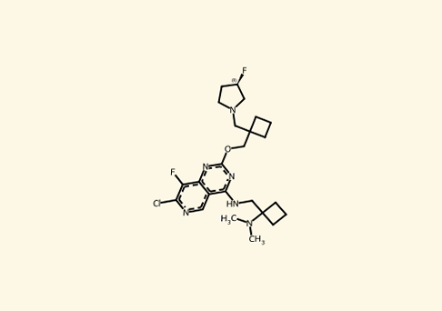 CN(C)C1(CNc2nc(OCC3(CN4CC[C@@H](F)C4)CCC3)nc3c(F)c(Cl)ncc23)CCC1